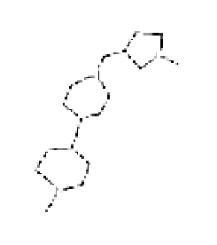 CN1CCC(C2CCN(CC3CCN(C)C3)CC2)CC1